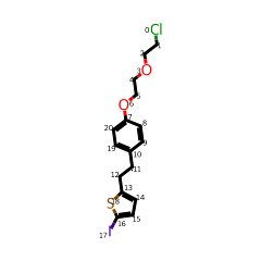 ClCCOCCOc1ccc([CH]Cc2ccc(I)s2)cc1